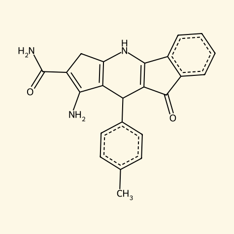 Cc1ccc(C2C3=C(CC(C(N)=O)=C3N)NC3=C2C(=O)c2ccccc23)cc1